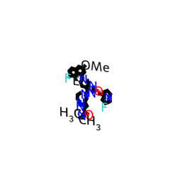 CCc1c(F)ccc2cc(OC)cc(N3CCc4c(nc(OC[C@@]56CCCN5C[C@H](F)C6)nc4N4CCCn5nc(C(=O)N(C)C)cc5C4)C3)c12